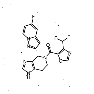 O=C(c1ocnc1C(F)F)N1CCc2[nH]cnc2[C@@H]1c1cc2cc(F)ccn2n1